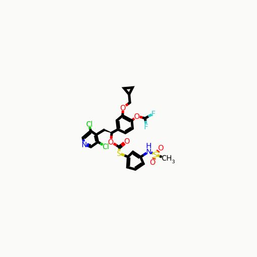 CS(=O)(=O)Nc1cccc(SC(=O)O[C@@H](Cc2c(Cl)cncc2Cl)c2ccc(OC(F)F)c(OCC3CC3)c2)c1